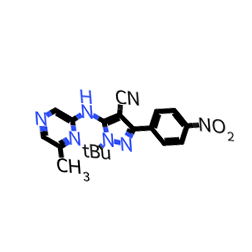 Cc1cncc(Nc2c(C#N)c(-c3ccc([N+](=O)[O-])cc3)nn2C(C)(C)C)n1